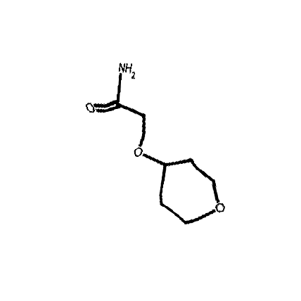 NC(=O)COC1CCOCC1